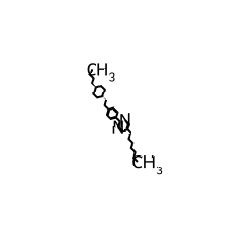 CCCCCCCc1cnc(-c2ccc(CC[C@H]3CC[C@H](CCCC)CC3)cc2)nc1